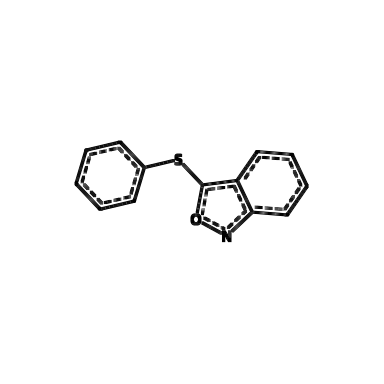 c1ccc(Sc2onc3ccccc23)cc1